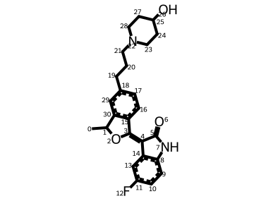 CC1OC(=C2C(=O)Nc3ccc(F)cc32)c2ccc(CCCN3CCC(O)CC3)cc21